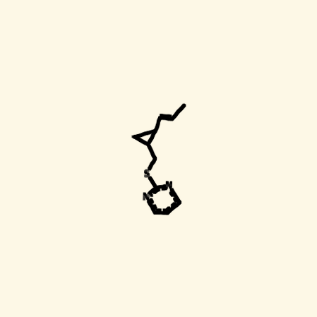 CC=CC1CC1CSc1ncccn1